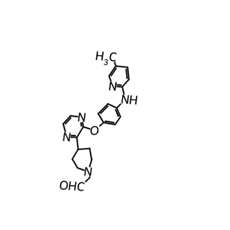 Cc1ccc(Nc2ccc(Oc3nccnc3C3CCN(CC=O)CC3)cc2)nc1